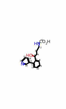 O=C(O)NCCCC(O)c1ccccc1-c1cccnc1